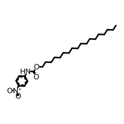 CCCCCCCCCCCCCCCCCCOC(=O)Nc1ccc([N+](=O)[O-])cc1